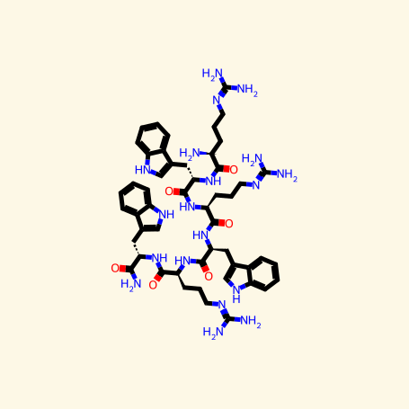 NC(=O)[C@H](Cc1c[nH]c2ccccc12)NC(=O)[C@H](CCCN=C(N)N)NC(=O)[C@H](Cc1c[nH]c2ccccc12)NC(=O)[C@H](CCCN=C(N)N)NC(=O)[C@H](Cc1c[nH]c2ccccc12)NC(=O)[C@@H](N)CCCN=C(N)N